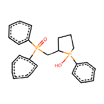 O=P(CC1CCC[P]1(O)c1ccccc1)(c1ccccc1)c1ccccc1